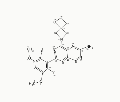 COc1cc(OC)c(F)c(-c2cc3cnc(N)nc3c(N3CC4(CCO4)C3)n2)c1F